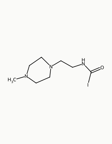 CN1CCN(CCNC(=O)I)CC1